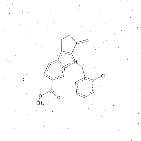 COC(=O)c1ccc2c3c(n(Cc4ccccc4Cl)c2c1)C(=O)CC3